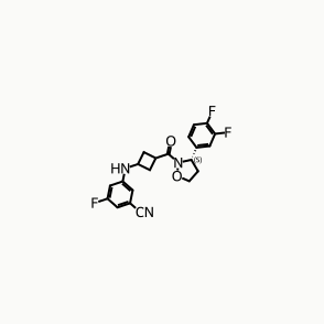 N#Cc1cc(F)cc(NC2CC(C(=O)N3OCC[C@H]3c3ccc(F)c(F)c3)C2)c1